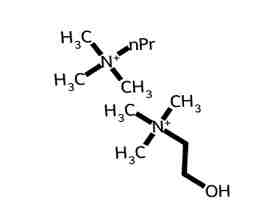 CCC[N+](C)(C)C.C[N+](C)(C)CCO